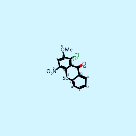 COc1cc([N+](=O)[O-])c2[se]c3ccccc3c(=O)c2c1Cl